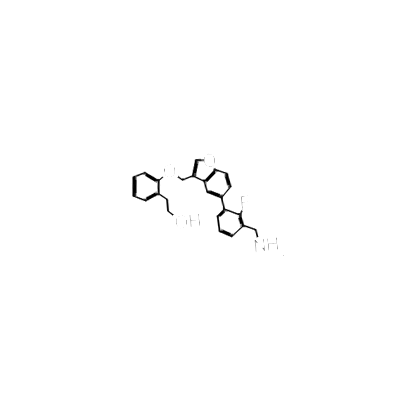 NCc1cccc(-c2ccc3occ(COc4ccccc4CCO)c3c2)c1F